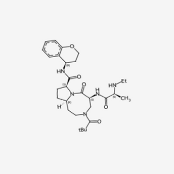 CCN[C@@H](C)C(=O)N[C@H]1CN(C(=O)C(C)(C)C)CC[C@H]2CC[C@@H](C(=O)N[C@@H]3CCOc4ccccc43)N2C1=O